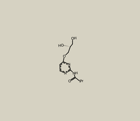 CC(C)C(=O)Nc1nccc(OC[C@H](O)CO)n1